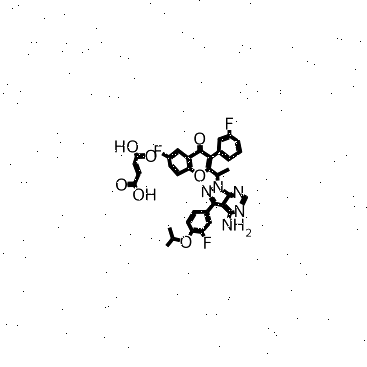 CC(C)Oc1ccc(-c2nn(C(C)c3oc4ccc(F)cc4c(=O)c3-c3cccc(F)c3)c3ncnc(N)c23)cc1F.O=C(O)C=CC(=O)O